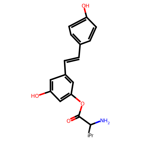 CC(C)C(N)C(=O)Oc1cc(O)cc(/C=C/c2ccc(O)cc2)c1